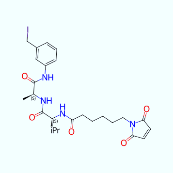 CC(C)[C@H](NC(=O)CCCCCN1C(=O)C=CC1=O)C(=O)N[C@@H](C)C(=O)Nc1cccc(CI)c1